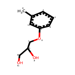 Cc1cccc(OCC(O)CO)c1